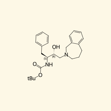 CC(C)(C)OC(=O)N[C@@H](Cc1ccccc1)[C@H](O)CN1CCCc2ccccc2C1